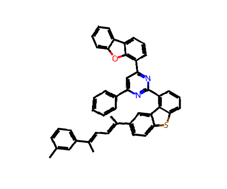 C/C(=C\C=C(/C)c1ccc2sc3cccc(-c4nc(-c5ccccc5)cc(-c5cccc6c5oc5ccccc56)n4)c3c2c1)c1cccc(C)c1